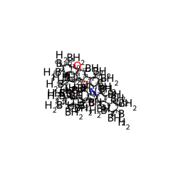 Bc1c(B)c(B)c(-c2c(B)c(B)c(N(c3c(B)c(B)c(-c4c(B)c(B)c(B)c(B)c4B)c(B)c3B)c3c(B)c(B)c(B)c4c3oc3c(-c5c(B)c(B)c(B)c(B)c5B)c5c(oc6c(B)c(B)c(B)c(B)c65)c(B)c34)c(B)c2B)c(B)c1B